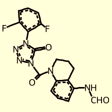 O=CNc1cccc2c1CCCN2C(=O)n1nnn(-c2c(F)cccc2F)c1=O